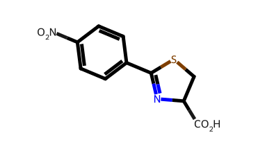 O=C(O)C1CSC(c2ccc([N+](=O)[O-])cc2)=N1